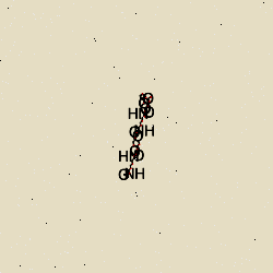 COCC(COC(=O)NCCCCCCNC(=O)OCC1CCC(COC(=O)NCCCCCCNC(C)=O)CC1)Oc1ccccc1